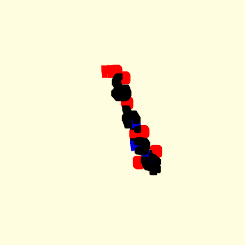 CC1(C)CC(=O)N(c2ccc(OC(=O)N3CCC(COc4ccc(CC(=O)O)cc4)CC3)nc2)C(=O)C1